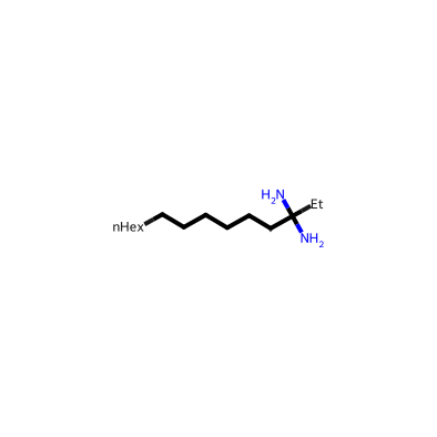 CCCCCCCCCCC[CH]C(N)(N)CC